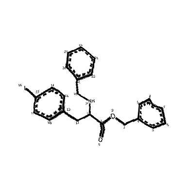 O=C(OCc1ccccc1)C(Cc1ccc(I)cc1)NCc1ccccc1